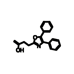 C=C(O)CCc1nc(-c2ccccc2)c(-c2ccccc2)o1